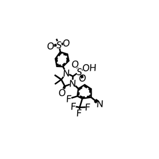 CC1(C)C(=O)N(c2ccc(C#N)c(C(F)(F)F)c2F)C(S(=O)(=O)O)N1c1ccc(S(C)(=O)=O)cc1